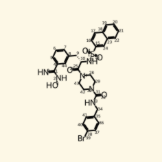 N=C(NO)c1cccc(C[C@H](NS(=O)(=O)c2ccc3ccccc3c2)C(=O)N2CCN(C(=O)NCc3ccc(Br)cc3)CC2)c1